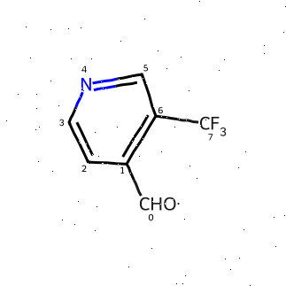 O=[C]c1ccncc1C(F)(F)F